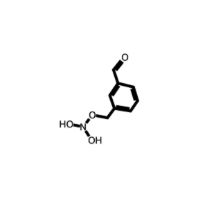 O=Cc1cccc(CON(O)O)c1